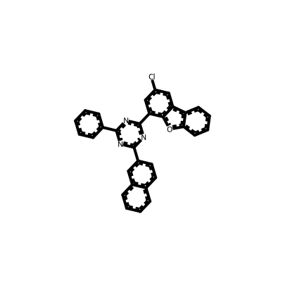 Clc1cc(-c2nc(-c3ccccc3)nc(-c3ccc4ccccc4c3)n2)c2oc3ccccc3c2c1